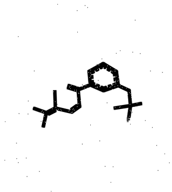 C=C(/C=C\C(C)=C(C)C)c1cccc(CC(C)(C)F)c1